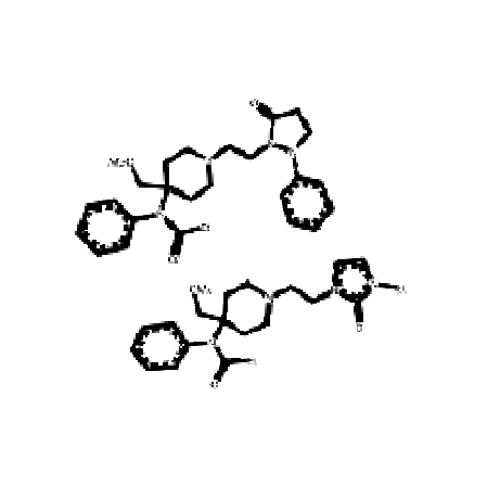 CCC(=O)N(c1ccccc1)C1(COC)CCN(CCN2C(=O)CCN2c2ccccc2)CC1.CCC(=O)N(c1ccccc1)C1(COC)CCN(CCn2ccn(CC)c2=O)CC1